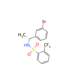 C[C@@H](NS(=O)(=O)c1ccccc1C(F)(F)F)c1cccc(Br)c1